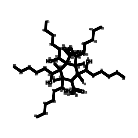 CCCCCC(O)C1(I)C(C(N)=O)C(I)(C(O)CCCCC)C(I)(C(O)CCCCC)C(C(N)=O)(C(O)CCCCC)C1(I)C(O)CCCCC